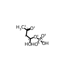 CC(=O)CC(O)OP(=O)(O)O